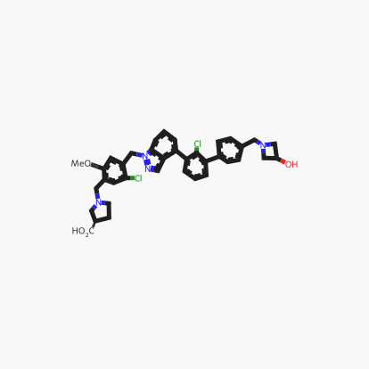 COc1cc(Cn2ncc3c(-c4cccc(-c5ccc(CN6CC(O)C6)cc5)c4Cl)cccc32)c(Cl)cc1CN1CC[C@@H](C(=O)O)C1